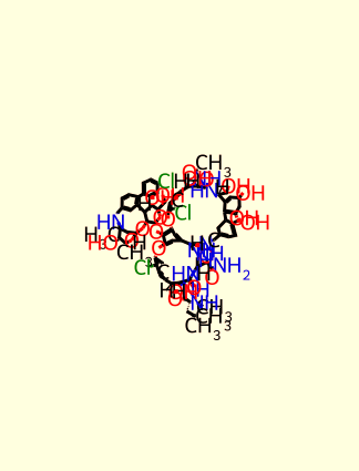 CN[C@H](CC(C)C)C(=O)N[C@H]1C(=O)N[C@@H](CC(N)=O)C(=O)N[C@H]2C(=N)NCC3=CC=C(CO)C(C3)C3=C(O)CC(O)C=C3[C@@H](CO)NC(=O)[C@@H](NC(C)=O)[C@H](O)C3=CC=C(Oc4cc2cc(c4O[C@H]2OC(CO)C(O)[C@@H]4c5cc(ccc5-c5ccc(Cl)cc5)CNC5(C)C[C@H](OC24)OC(C)[C@H]5O)OC2=C(Cl)C=C(CC2)[C@H]1O)C(Cl)C3